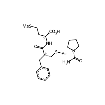 CSCC[C@H](NC(=O)[C@H](CSC(C)=O)Cc1ccccc1)C(=O)O.NC(=O)N1CCCC1